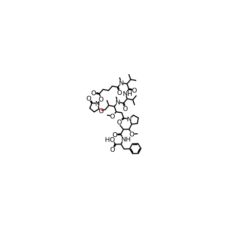 CCC(C)C(C(CC(=O)N1CCCC1C(OC)C(C)C(=O)NC(Cc1ccccc1)C(=O)O)OC)N(C)C(=O)C(NC(=O)C(C(C)C)N(C)C(=O)CCCC(=O)ON1C(=O)CCC1=O)C(C)C